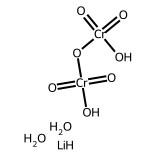 O.O.[LiH].[O]=[Cr](=[O])([OH])[O][Cr](=[O])(=[O])[OH]